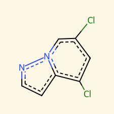 Clc1cc(Cl)c2ccnn2c1